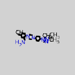 C=C1N(c2ccc(N3CCN(c4ccc(CC)cc4CN)CC3)cc2)C=NN1C(C)CC